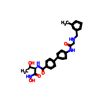 Cc1cccc(CNCC(=O)Nc2ccc(-c3ccc(C(=O)N[C@H](C(=O)NO)[C@@H](C)O)cc3)cc2)c1